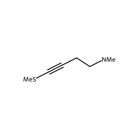 CNCCC#CSC